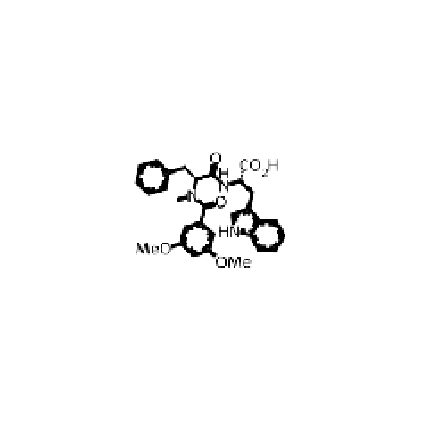 COc1cc(OC)cc(C(=O)N(C)[C@@H](Cc2ccccc2)C(=O)N[C@@H](Cc2c[nH]c3ccccc23)C(=O)O)c1